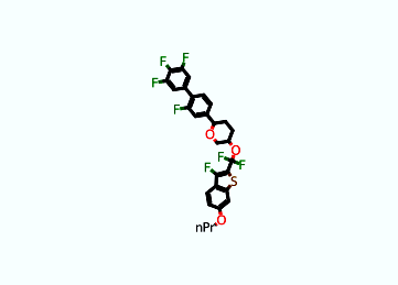 CCCOc1ccc2c(F)c(C(F)(F)OC3CCC(c4ccc(-c5cc(F)c(F)c(F)c5)c(F)c4)OC3)sc2c1